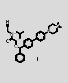 CC(C)C[C@H](O[C@H](c1ccccc1)c1ccc(-c2ccc(N3CC[N+](C)(C)CC3)cc2)cc1)C(=O)NCC#N.[I-]